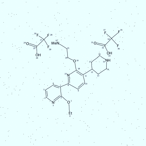 CCOc1ncccc1-c1ccc(C2CCNCC2)c(OCCNC)n1.O=C(O)C(F)(F)F.O=C(O)C(F)(F)F